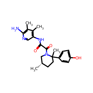 Cc1c(NC(=O)C(=O)N2C[C@@H](C)CCC2(C)c2ccc(O)cc2)cnc(N)c1C